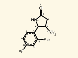 NC1CC(=O)NC1c1ccc(F)cc1F